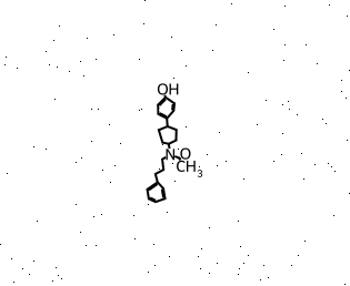 CC(=O)N(CCCc1ccccc1)C1CCC(c2ccc(O)cc2)CC1